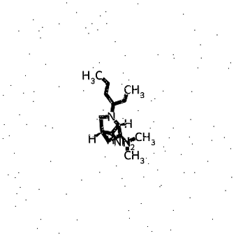 CCCC(CC)N1C[C@H]2C[C@H](N(C)C)[C@@H]1[C@@H]2N